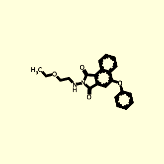 CCOCCNN1C(=O)c2cc(Oc3ccccc3)c3ccccc3c2C1=O